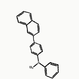 CC(C)(C)N(c1ccccc1)c1ccc(-c2ccc3ccccc3c2)cc1